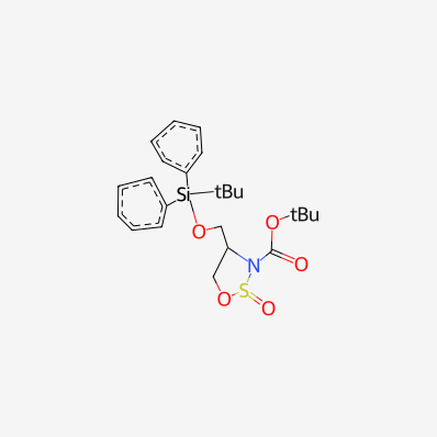 CC(C)(C)OC(=O)N1C(CO[Si](c2ccccc2)(c2ccccc2)C(C)(C)C)COS1=O